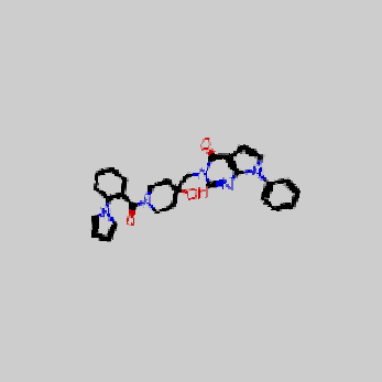 O=C(C1CCCCC1n1cccc1)N1CCC(O)(Cn2cnc3c(ccn3-c3ccccc3)c2=O)CC1